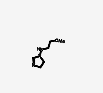 COCCNN1C=NCC1